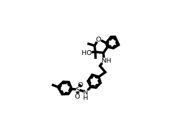 Cc1ccc(S(=O)(=O)Nc2ccc(CCNC3c4ccccc4OC(C)C3(C)O)cc2)cc1